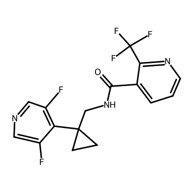 O=C(NCC1(c2c(F)cncc2F)CC1)c1cccnc1C(F)(F)F